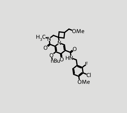 CCCCOc1c2n(cc(C(=O)NCc3ccc(OC)c(Cl)c3F)c1=O)C1(CC(COC)C1)CN(C)C2=O